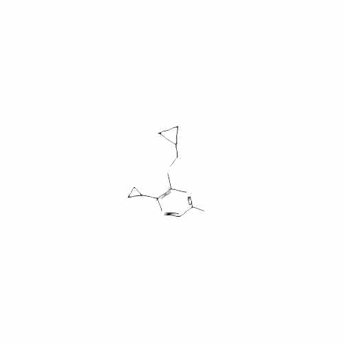 [CH2]c1cnc(C2CC2)c(OCC2CC2)n1